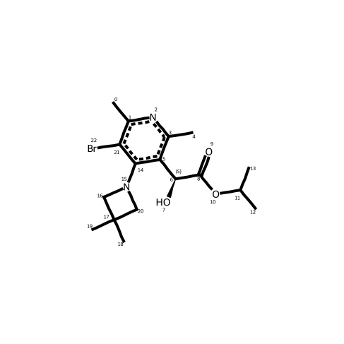 Cc1nc(C)c([C@H](O)C(=O)OC(C)C)c(N2CC(C)(C)C2)c1Br